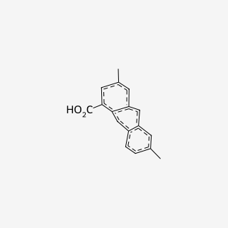 Cc1ccc2cc3c(C(=O)O)cc(C)cc3cc2c1